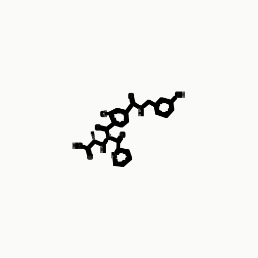 C[C@H](NN(C(=O)c1ccccn1)C(=O)c1ccc(C(=O)NCc2cccc(O)c2)cc1Cl)C(=O)O